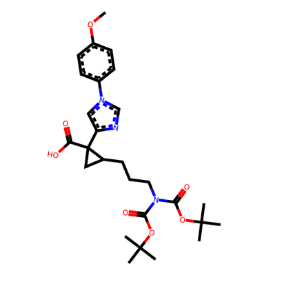 COc1ccc(-n2cnc(C3(C(=O)O)CC3CCCN(C(=O)OC(C)(C)C)C(=O)OC(C)(C)C)c2)cc1